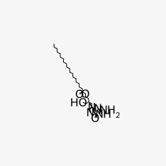 CCCCCCCCCCCCCCCCCCCC(=O)OCCC(CO)Cn1cnc2c(=O)[nH]c(N)nc21